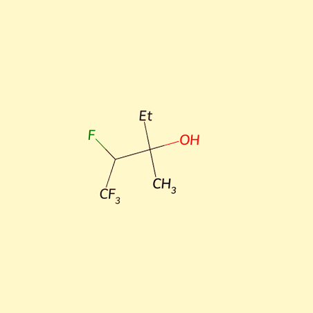 CCC(C)(O)C(F)C(F)(F)F